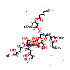 CCCCCCCCCCCCCC(=O)O[C@H](CCCCCCCCCCC)CC(=O)OC[C@H](NC(=O)C[C@@H](CCCCCCCCCCC)OC(=O)CCCCCCCCCCC)[C@H](OCC(OC(O)[C@H](COC(=O)C[C@H](O)CCCCCCCCCCC)NC(=O)C[C@H](O)CCCCCCCCCCC)[C@H](C)O)OC(CO)[C@H](C)OP(=O)(O)O